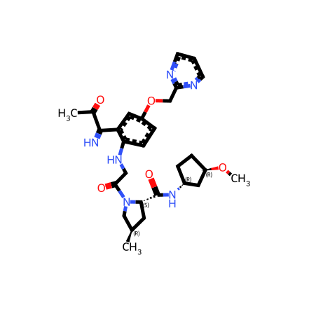 CO[C@@H]1CC[C@@H](NC(=O)[C@@H]2C[C@@H](C)CN2C(=O)CNc2ccc(OCc3ncccn3)cc2C(=N)C(C)=O)C1